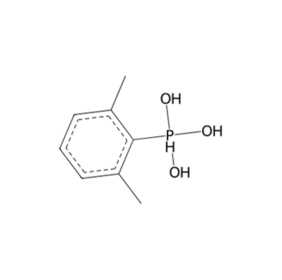 Cc1cccc(C)c1[PH](O)(O)O